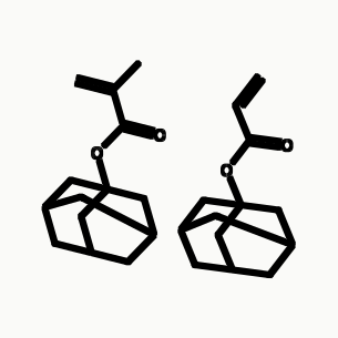 C=C(C)C(=O)OC12CC3CC(CC(C3)C1)C2.C=CC(=O)OC12CC3CC(CC(C3)C1)C2